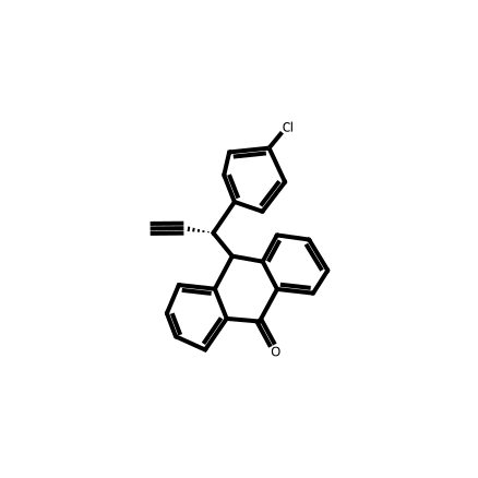 C#C[C@H](c1ccc(Cl)cc1)C1c2ccccc2C(=O)c2ccccc21